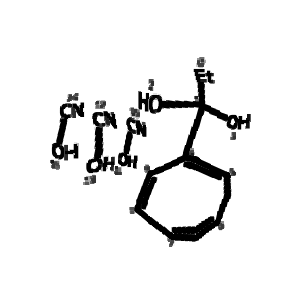 CCC(O)(O)c1ccccc1.N#CO.N#CO.N#CO